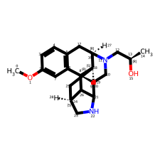 COc1ccc2c(c1)[C@]13CCN(C[C@@H](C)O)[C@H](C2)[C@]12CCC1NC[C@@H](C2)C13